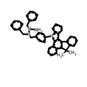 CC1(C)c2ccccc2-c2c1c1ccccc1c1c2c2ccccc2n1-c1ccc(CN(Cc2ccccc2)N(N)Cc2ccccc2)cc1